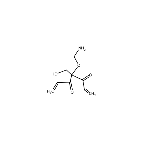 C=CC(=O)C(CO)(OCN)C(=O)C=C